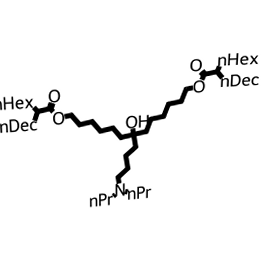 CCCCCCCCCCC(CCCCCC)C(=O)OCCCCCCC(O)(CCCCCCOC(=O)C(CCCCCC)CCCCCCCCCC)CCCCN(CCC)CCC